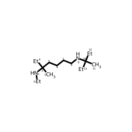 CCNC(C)(CC)CCCCNC(C)(CC)CC